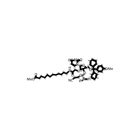 COC(=O)CCCCCCCCCCCNC(=O)COC1C(OP(OCCC#N)N(C(C)C)C(C)C)[C@@H](COC(c2ccccc2)(c2ccccc2)c2ccc(OC)cc2)O[C@H]1n1ccc(=O)[nH]c1=O